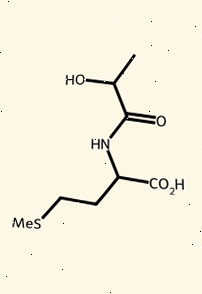 CSCCC(NC(=O)C(C)O)C(=O)O